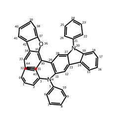 c1ccc(N(c2ccccc2)c2cc3c4ccccc4n(-c4ccccc4)c3cc2-c2cccc3c2oc2ccccc23)cc1